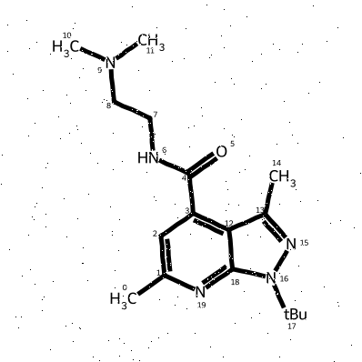 Cc1cc(C(=O)NCCN(C)C)c2c(C)nn(C(C)(C)C)c2n1